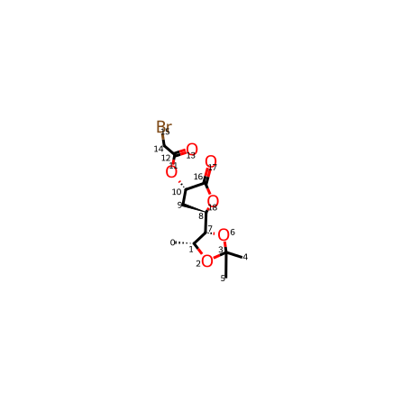 C[C@H]1OC(C)(C)O[C@H]1[C@H]1C[C@H](OC(=O)CBr)C(=O)O1